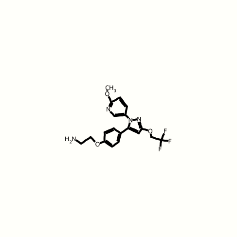 COc1ccc(-n2nc(OCC(F)(F)F)cc2-c2ccc(OCCN)cc2)cn1